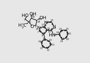 C[C@]1(CO)O[C@@H](n2cc(-c3ccccc3)c3c(Nc4ccccc4)ncnc32)[C@H](O)[C@@H]1O